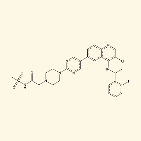 CC(Nc1c(Cl)cnc2ccc(-c3cnc(N4CCN(CC(=O)NS(C)(=O)=O)CC4)nc3)cc12)c1ccccc1F